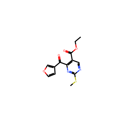 CCOC(=O)c1cnc(SC)nc1C(=O)c1ccoc1